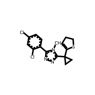 Cn1c(-c2ccc(Cl)cc2Cl)nnc1C1(C2=CCCS2)CC1